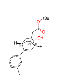 Cc1cccc(C2=C[C@H]3CC[C@@H]2C[C@@]3(O)CC(=O)OC(C)(C)C)c1